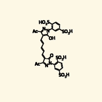 CC(=O)C1=NN(c2cc(S(=O)(=O)O)ccc2S(=O)(=O)O)C(=O)C1=CC=CC=Cc1c(C(C)=O)nn(-c2cc(S(=O)(=O)O)ccc2S(=O)(=O)O)c1O